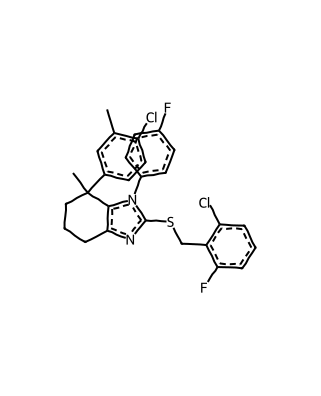 Cc1cc(C2(C)CCCc3nc(SCc4c(F)cccc4Cl)n(-c4ccc(F)cc4)c32)ccc1Cl